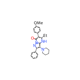 CCc1[nH]c2c(N3CCCCC3)c(-c3ccccc3)nn2c(=O)c1-c1ccc(OC)cc1